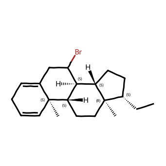 CC[C@H]1CC[C@H]2[C@@H]3C(Br)CC4=CCC=C[C@]4(C)[C@H]3CC[C@]12C